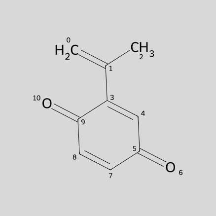 C=C(C)C1=CC(=O)C=CC1=O